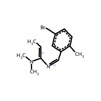 C/C=C(/N=C\c1cc(Br)ccc1C)N(C)C